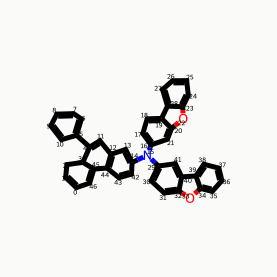 C1=CCC2C(c3ccccc3)=Cc3cc(N(c4ccc5c(c4)oc4ccccc45)c4ccc5oc6ccccc6c5c4)ccc3C2=C1